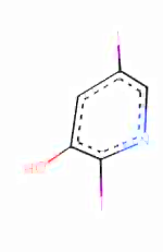 Oc1cc(I)cnc1I